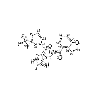 O=C(NC[C@@H]1[C@H]2C[C@H]2CN1C(=O)c1cccc(C(F)(F)F)c1)c1cccc2occc12